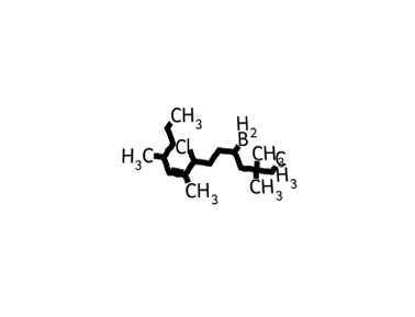 BC(CCC(Cl)/C(C)=C\C(C)CCC)CC(C)(C)CC